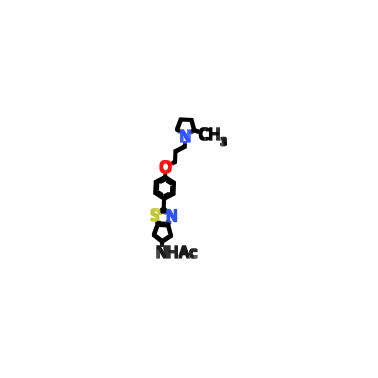 CC(=O)NC1Cc2nc(-c3ccc(OCCCN4CCCC4C)cc3)sc2C1